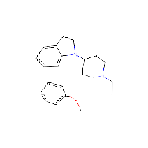 CCN1CCC(N2CCc3ccccc32)CC1.COc1ccccc1